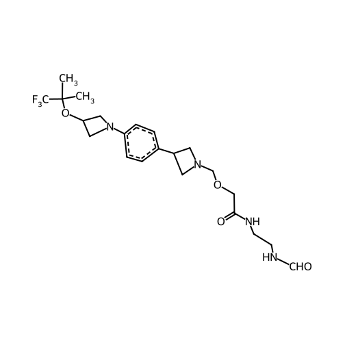 CC(C)(OC1CN(c2ccc(C3CN(COCC(=O)NCCNC=O)C3)cc2)C1)C(F)(F)F